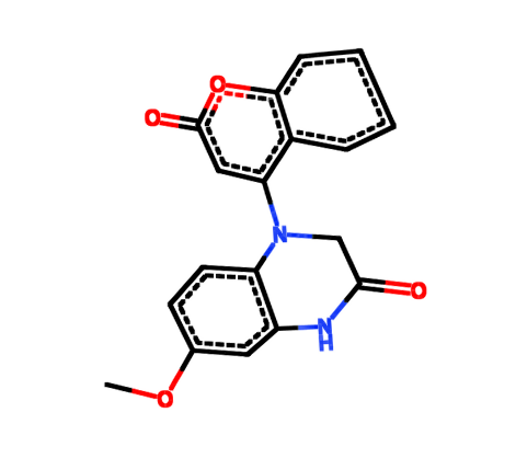 COc1ccc2c(c1)NC(=O)CN2c1cc(=O)oc2ccccc12